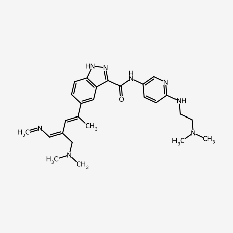 C=N/C=C(\C=C(/C)c1ccc2[nH]nc(C(=O)Nc3ccc(NCCN(C)C)nc3)c2c1)CN(C)C